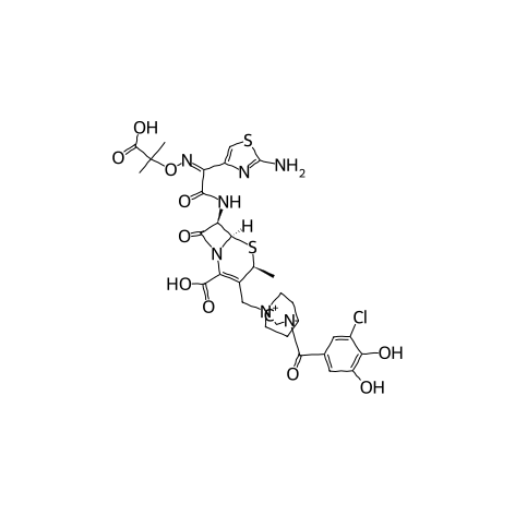 C[C@@H]1S[C@@H]2[C@H](NC(=O)/C(=N\OC(C)(C)C(=O)O)c3csc(N)n3)C(=O)N2C(C(=O)O)=C1C[N+]12CCC(CC1)N(C(=O)c1cc(O)c(O)c(Cl)c1)CC2